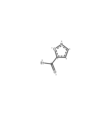 CCC(=O)c1ccno1